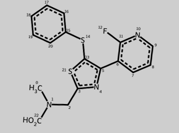 CN(Cc1nc(-c2cccnc2F)c(Sc2ccccc2)s1)C(=O)O